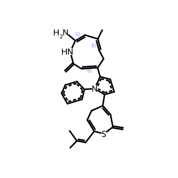 C=C1/C=C(/c2ccc(C3=CC(=C)SC(C=C(C)C)=CC3)n2-c2ccccc2)C/C=C(C)/C=C(/N)N1